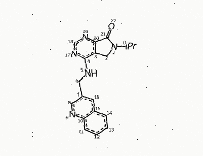 CC(C)N1Cc2c(NCc3cnc4ccccc4c3)ncnc2C1=O